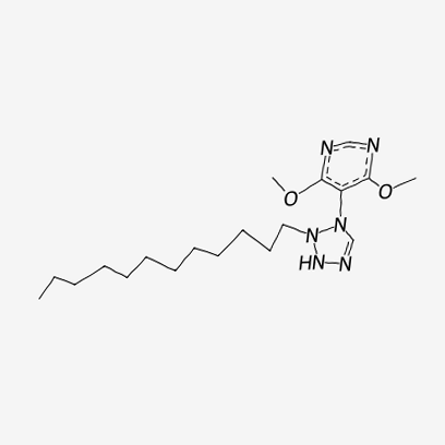 CCCCCCCCCCCCN1NN=CN1c1c(OC)ncnc1OC